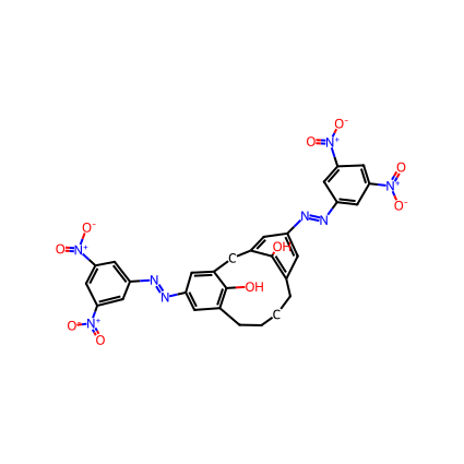 O=[N+]([O-])c1cc(N=Nc2cc3c(O)c(c2)Cc2cc(N=Nc4cc([N+](=O)[O-])cc([N+](=O)[O-])c4)cc(c2O)CCCC3)cc([N+](=O)[O-])c1